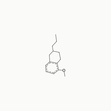 CCCC1CCc2c(cccc2OC)C1